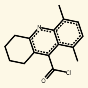 Cc1ccc(C)c2c(C(=O)Cl)c3c(nc12)CCCC3